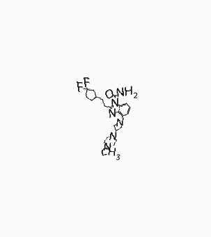 CN1CCN(C2CN(c3cccc4c3nc(CCC3CCC(F)(F)C3)n4C(N)=O)C2)CC1